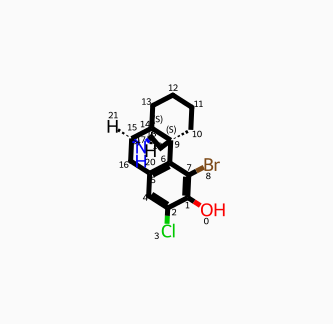 Oc1c(Cl)cc2c(c1Br)[C@]13CCCC[C@@H]1[C@H](C2)NCC3